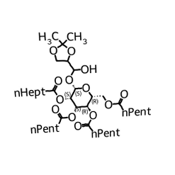 CCCCCCCC(=O)O[C@@H]1[C@H](OC(O)C2COC(C)(C)O2)O[C@H](COC(=O)CCCCC)[C@@H](OC(=O)CCCCC)[C@@H]1OC(=O)CCCCC